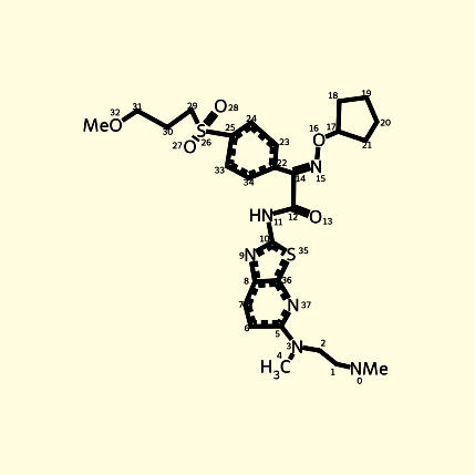 CNCCN(C)c1ccc2nc(NC(=O)/C(=N/OC3CCCC3)c3ccc(S(=O)(=O)CCCOC)cc3)sc2n1